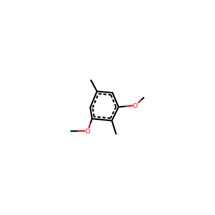 [CH2]c1c(OC)cc(C)cc1OC